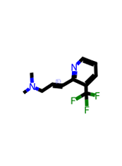 CN(C)C/C=C/c1ncccc1C(F)(F)F